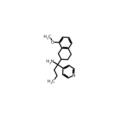 CCCC(N)(c1ccncc1)C1CCc2cccc(OC)c2C1